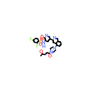 COc1ncc(-c2cc3c(N4CCN(C(=O)/C=C/C(C)=O)CC4)cccc3cn2)cc1NS(=O)(=O)c1ccc(F)cc1F